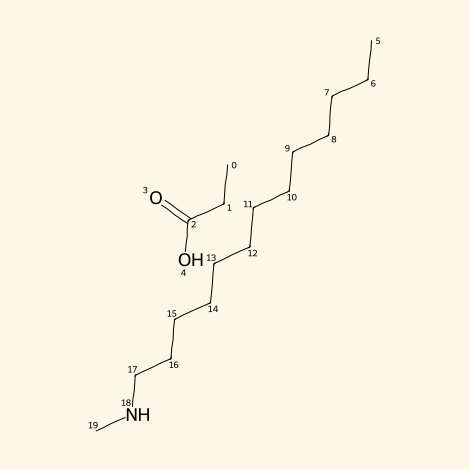 CCC(=O)O.CCCCCCCCCCCCCNC